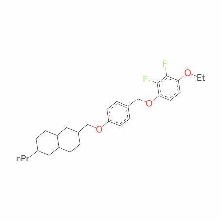 CCCC1CCC2CC(COc3ccc(COc4ccc(OCC)c(F)c4F)cc3)CCC2C1